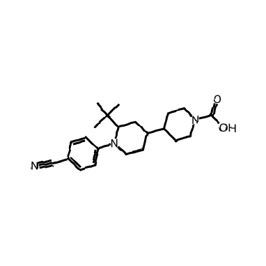 CC(C)(C)C1CC(C2CCN(C(=O)O)CC2)CCN1c1ccc(C#N)cc1